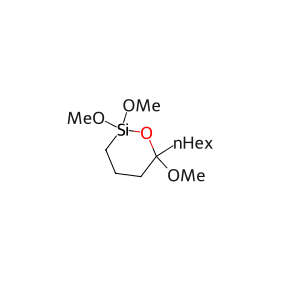 CCCCCCC1(OC)CCC[Si](OC)(OC)O1